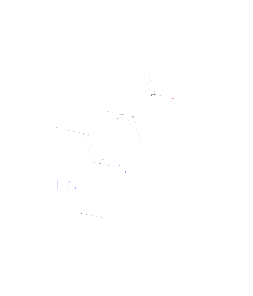 Cc1cc(C(=O)O)cnc1NC(C)C